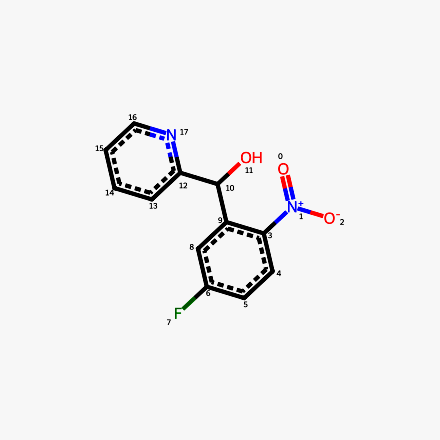 O=[N+]([O-])c1ccc(F)cc1C(O)c1ccccn1